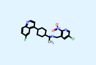 CC(NCc1cc(Cl)cnc1[N+](=O)[O-])C1CCC(c2ccnc3ccc(F)cc23)CC1